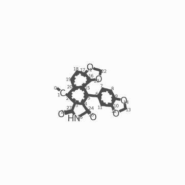 CCc1c2c(c(-c3ccc4c(c3)OCO4)c3c4c(ccc13)OCO4)C(=O)NC2=O